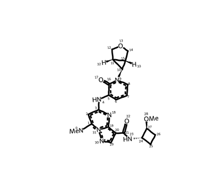 CNc1cc(Nc2cccn([C@H]3[C@@H]4COC[C@@H]43)c2=O)nc2c(C(=O)N[C@H]3CC[C@@H]3OC)cnn12